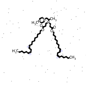 CCCCC/C=C\C/C=C\CCCCCCCCOC(=O)CCN(CCC(=O)OCCCCCCCC/C=C\C/C=C\CCCCC)C(C)CN1CCN(C)CC1